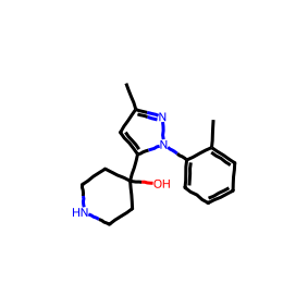 Cc1cc(C2(O)CCNCC2)n(-c2ccccc2C)n1